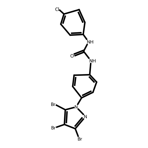 O=C(Nc1ccc(Cl)cc1)Nc1ccc(-n2nc(Br)c(Br)c2Br)cc1